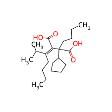 CCCCC(=C(C(=O)O)C(CCCC)(C(=O)O)C1CCCC1)C(C)C